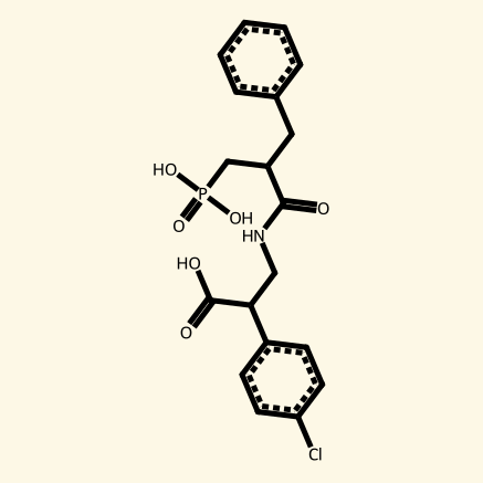 O=C(NCC(C(=O)O)c1ccc(Cl)cc1)C(Cc1ccccc1)CP(=O)(O)O